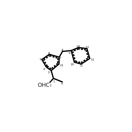 CC(C=O)c1cccc(Cc2ccccc2)c1